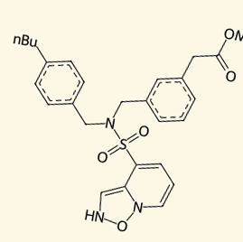 CCCCc1ccc(CN(Cc2cccc(CC(=O)OC)c2)S(=O)(=O)C2=CC=CN3ONC=C23)cc1